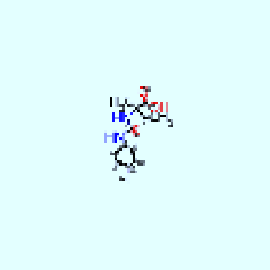 CCC(C)(NC(=O)Nc1ccc(I)cc1)C(=O)O